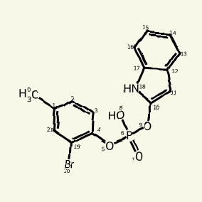 Cc1ccc(OP(=O)(O)Oc2cc3ccccc3[nH]2)c(Br)c1